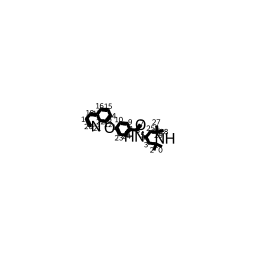 CC1(C)CC(NC(=O)c2ccc(Oc3cccc4cccnc34)cc2)CC(C)(C)N1